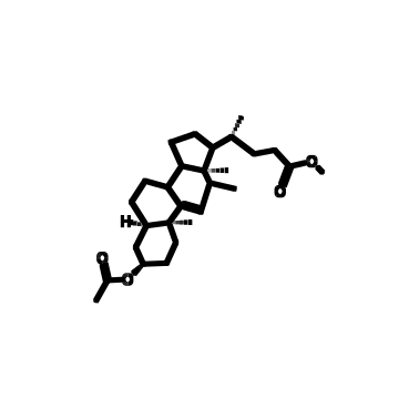 COC(=O)CC[C@@H](C)C1CCC2C3CC[C@@H]4C[C@H](OC(C)=O)CC[C@]4(C)C3=CC(C)[C@@]21C